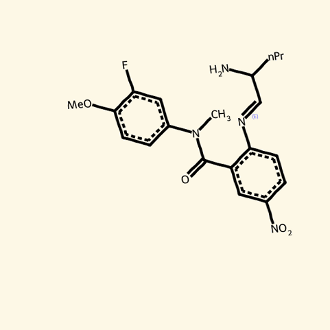 CCCC(N)/C=N/c1ccc([N+](=O)[O-])cc1C(=O)N(C)c1ccc(OC)c(F)c1